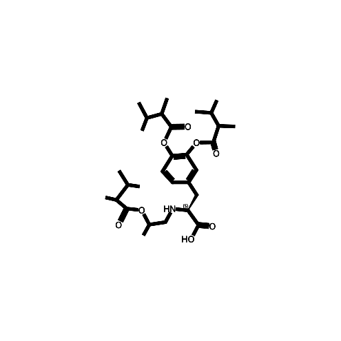 CC(CN[C@@H](Cc1ccc(OC(=O)C(C)C(C)C)c(OC(=O)C(C)C(C)C)c1)C(=O)O)OC(=O)C(C)C(C)C